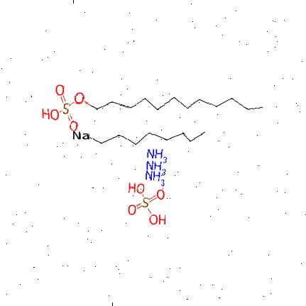 CCCCCCCCCCCCOS(=O)(=O)O.CCCCCCC[CH2][Na].N.N.N.O=S(=O)(O)O